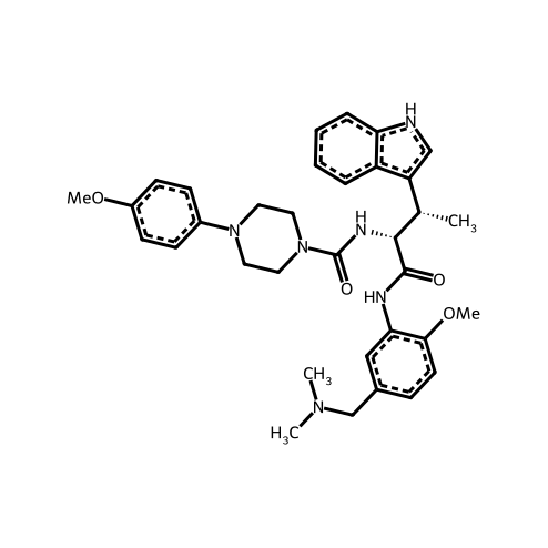 COc1ccc(N2CCN(C(=O)N[C@@H](C(=O)Nc3cc(CN(C)C)ccc3OC)[C@@H](C)c3c[nH]c4ccccc34)CC2)cc1